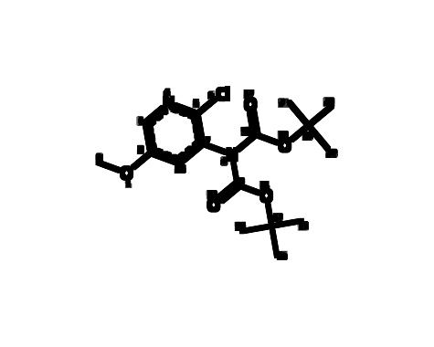 COc1cnc(Cl)c(N(C(=O)OC(C)(C)C)C(=O)OC(C)(C)C)c1